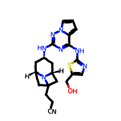 N#CCCC12C[C@H]3C[C@H](Nc4nc(Nc5ncc(CO)s5)c5cccn5n4)C[C@@H](C1)N32